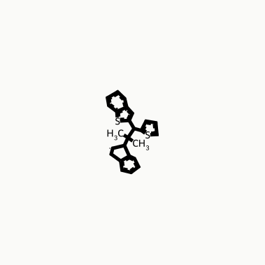 CC(C)(C1[CH]Cc2ccccc21)C(c1cccs1)c1cc2ccccc2s1